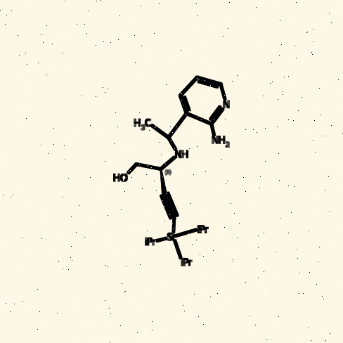 CC(N[C@@H](C#C[Si](C(C)C)(C(C)C)C(C)C)CO)c1cccnc1N